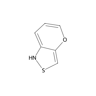 C1=COC2=CSNC2=C1